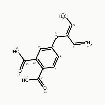 C=C/C(=C/C)Oc1ccc(C(=O)O)c(C(=O)O)c1